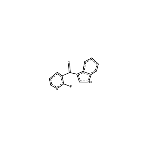 O=C(c1cccnc1F)c1c[nH]c2ccccc12